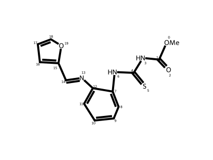 COC(=O)NC(=S)Nc1ccccc1N=Cc1ccco1